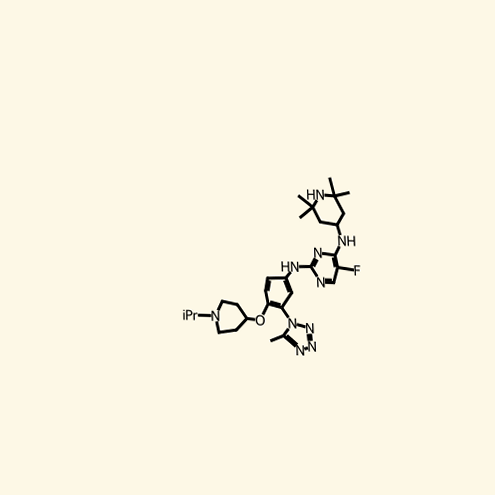 Cc1nnnn1-c1cc(Nc2ncc(F)c(NC3CC(C)(C)NC(C)(C)C3)n2)ccc1OC1CCN(C(C)C)CC1